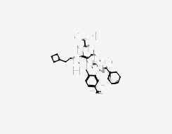 CN(C(=O)C1CCCCC1)c1nc2nc(C(=O)O)nc(NCCC3CCC3)c2n1Cc1ccc(C(F)(F)F)cc1